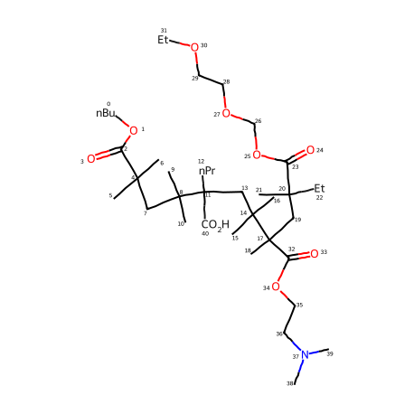 CCCCOC(=O)C(C)(C)CC(C)(C)C(CCC)(CC(C)(C)C(C)(CC(C)(CC)C(=O)OCOCCOCC)C(=O)OCCN(C)C)C(=O)O